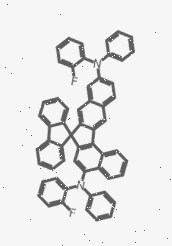 Fc1ccccc1N(c1ccccc1)c1ccc2cc3c(cc2c1)C1(c2ccccc2-c2ccccc21)c1cc(N(c2ccccc2)c2ccccc2F)c2ccccc2c1-3